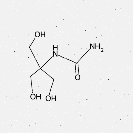 NC(=O)NC(CO)(CO)CO